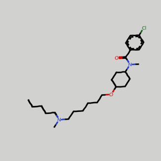 CCCCCN(C)CCCCCCOC1CCC(N(C)C(=O)c2ccc(Cl)cc2)CC1